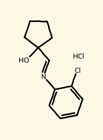 Cl.OC1(C=Nc2ccccc2Cl)CCCC1